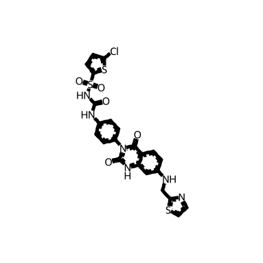 O=C(Nc1ccc(-n2c(=O)[nH]c3cc(NCc4nccs4)ccc3c2=O)cc1)NS(=O)(=O)c1ccc(Cl)s1